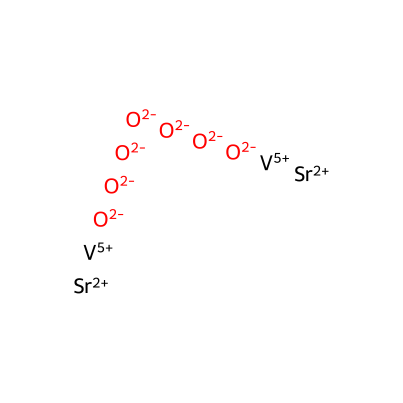 [O-2].[O-2].[O-2].[O-2].[O-2].[O-2].[O-2].[Sr+2].[Sr+2].[V+5].[V+5]